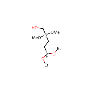 CCO[SiH](CC[Si](CO)(OC)OC)OCC